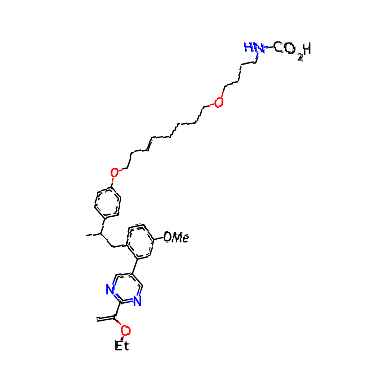 C=C(OCC)c1ncc(-c2cc(OC)ccc2CC(C)c2ccc(OCCCCCCCCOCCCCNC(=O)O)cc2)cn1